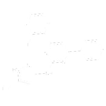 Cc1cc(Nc2nc(-c3ccccc3)cc(-c3ccccc3I)n2)n[nH]1